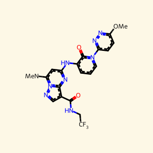 CNc1cc(Nc2cccn(-c3ccc(OC)nn3)c2=O)nc2c(C(=O)NCC(F)(F)F)cnn12